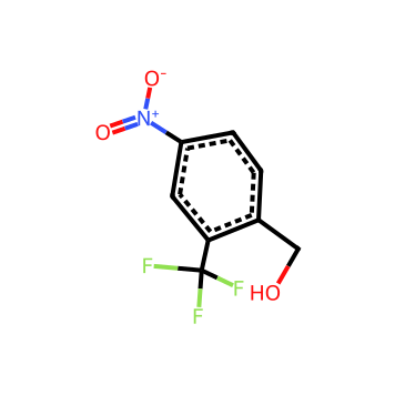 O=[N+]([O-])c1ccc(CO)c(C(F)(F)F)c1